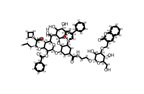 CCC[C@H](OC1C(OC(=O)c2ccccc2)[C@H](O[C@@H]2CC(C(=O)NCCO[C@H]3OC(CO)[C@@H](O)C(OCc4cc5ccccc5oc4=O)C3O)CC(n3cc(-c4ccccc4)nn3)C2O[C@@H]2OC(C)[C@@H](O)C(O)C2O)OC(CO)[C@@H]1O)C(=O)N1CCC1